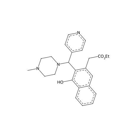 CCOC(=O)Cc1cc2ccccc2c(O)c1C(c1ccncc1)N1CCN(C)CC1